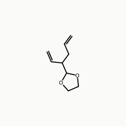 C=CCC(C=C)C1OCCO1